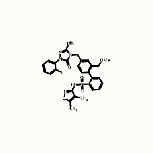 CCCCc1nn(-c2ccccc2Cl)c(=O)n1Cc1ccc(-c2ccccc2S(=O)(=O)Nc2noc(C)c2C)c(COC)c1